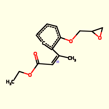 CCOC(=O)/C=C(/C)c1ccccc1OCC1CO1